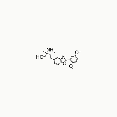 COc1ccc(OC)c(-c2nc3cc(CCC(C)(N)CO)ccc3o2)c1